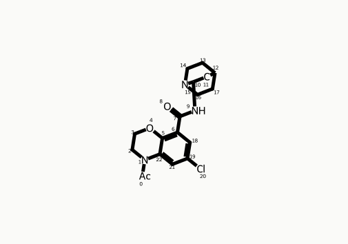 CC(=O)N1CCOc2c(C(=O)NC3CC4CCN3CC4)cc(Cl)cc21